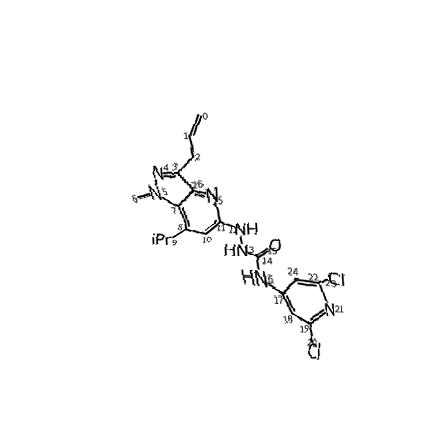 C=CCc1nn(C)c2c(C(C)C)cc(NNC(=O)Nc3cc(Cl)nc(Cl)c3)nc12